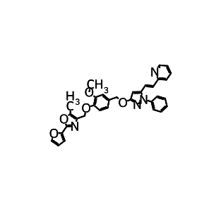 COc1cc(COc2cc(C=Cc3ccccn3)n(-c3ccccc3)n2)ccc1OCc1nc(-c2ccco2)oc1C